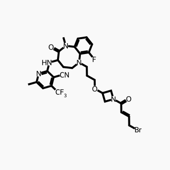 Cc1cc(C(F)(F)F)c(C#N)c(NC2CCN(CCCOC3CN(C(=O)C=CCBr)C3)c3c(F)cccc3N(C)C2=O)n1